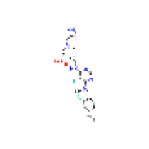 CCN(Cc1ccc(C(F)(F)F)cc1F)c1ncnc(NC[C@]2(O)CCN(CC(N)=O)C[C@H]2O)c1F